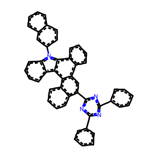 c1ccc(-c2nc(-c3ccccc3)nc(-c3cc4c5ccccc5c5c(c6ccccc6n5-c5ccc6ccccc6c5)c4c4ccccc34)n2)cc1